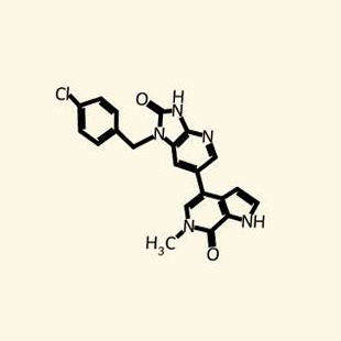 Cn1cc(-c2cnc3[nH]c(=O)n(Cc4ccc(Cl)cc4)c3c2)c2cc[nH]c2c1=O